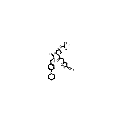 CC(=O)O[C@@H]1C[C@@H](C(=O)NCc2ccc(N3CCCCC3)cc2)N(C(=O)Cc2cc(C)no2)C1